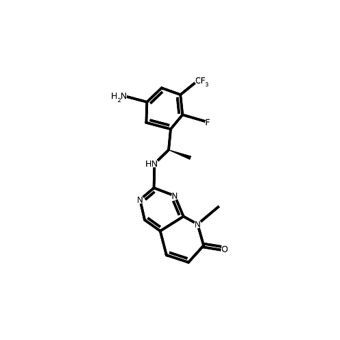 C[C@@H](Nc1ncc2ccc(=O)n(C)c2n1)c1cc(N)cc(C(F)(F)F)c1F